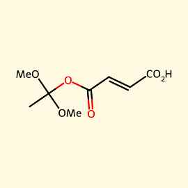 COC(C)(OC)OC(=O)C=CC(=O)O